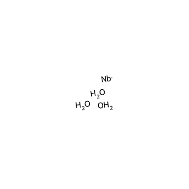 O.O.O.[Nb]